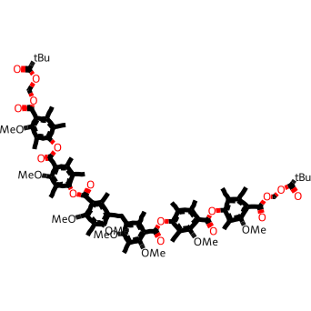 COc1c(C)c(OC)c(C(=O)Oc2c(C)c(C)c(C(=O)Oc3c(C)c(C)c(C(=O)OCOC(=O)C(C)(C)C)c(OC)c3C)c(OC)c2C)c(C)c1Cc1c(C)c(C(=O)Oc2c(C)c(C)c(C(=O)Oc3c(C)c(C)c(C(=O)OCOC(=O)C(C)(C)C)c(OC)c3C)c(OC)c2C)c(OC)c(C)c1OC